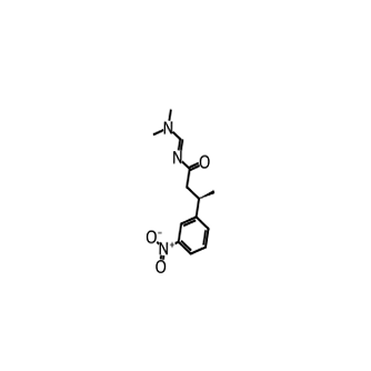 C[C@H](CC(=O)N=CN(C)C)c1cccc([N+](=O)[O-])c1